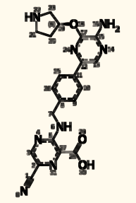 N#Cc1cnc(NCc2ccc(-c3cnc(N)c(O[C@H]4CCNC4)n3)cc2)c(C(=O)O)n1